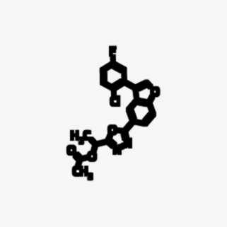 CC(=O)OC(C)c1nnc(-c2ccc3occ(-c4cc(F)ccc4Cl)c3c2)o1